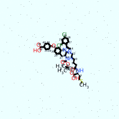 CSCC[C@H](NC(=O)CCCCCn1cc(-c2ccc(Cl)cc2Cl)nc1[C@H](Cc1ccc(Oc2ccc(C(=O)O)cc2)cc1)NC(=O)OC(C)(C)C)C(=O)O